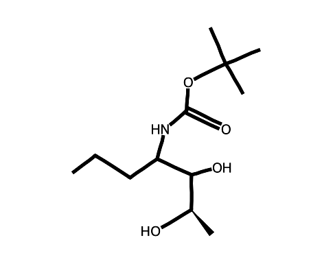 CCCC(NC(=O)OC(C)(C)C)C(O)[C@@H](C)O